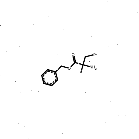 CC(C)CC(C)(N)C(=O)OCc1ccccc1